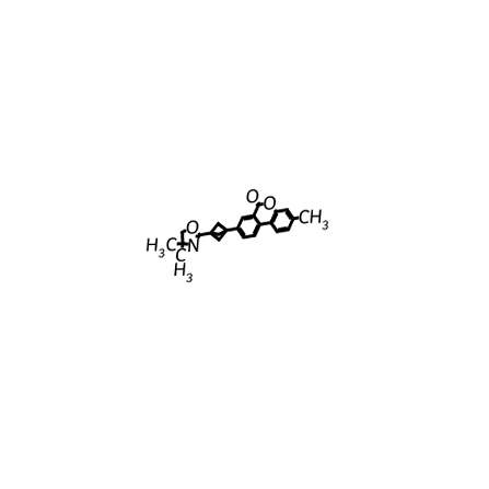 Cc1ccc2c(c1)oc(=O)c1cc(C34CC(C5=NC(C)(C)CO5)(C3)C4)ccc12